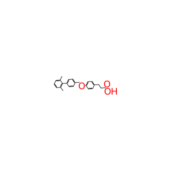 Cc1cccc(C)c1-c1ccc(COc2ccc(CCC(=O)O)cc2)cc1